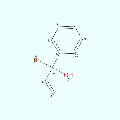 C=CC(O)(Br)c1ccccc1